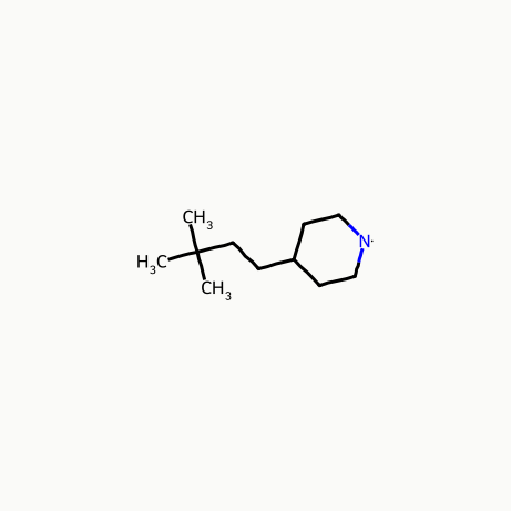 CC(C)(C)CCC1CC[N]CC1